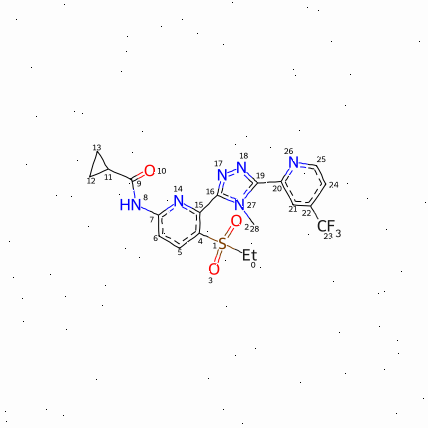 CCS(=O)(=O)c1ccc(NC(=O)C2CC2)nc1-c1nnc(-c2cc(C(F)(F)F)ccn2)n1C